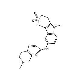 CN1CCc2ccc(Nc3ccc4c(c3)c3c(n4C)CCS(=O)(=O)C3)cc2C1